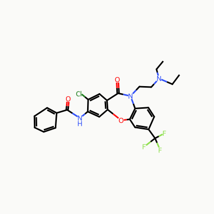 CCN(CC)CCN1C(=O)c2cc(Cl)c(NC(=O)c3ccccc3)cc2Oc2cc(C(F)(F)F)ccc21